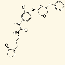 C=C(C(=O)NCCCN1CCCC1=O)c1ccc(SC2COCC(Cc3ccccc3)O2)c(Cl)c1